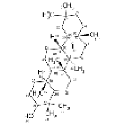 CC1(C)CC[C@]2(C)CC[C@]3(C)[C@H](CC[C@@H]4[C@@]5(C)CCC(O)C(C)(C)C5CC[C@]43C)[C@H]2C1